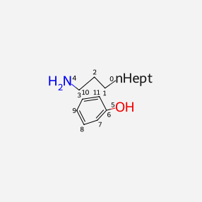 CCCCCCCCCCN.Oc1ccccc1